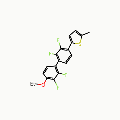 CCOc1ccc(-c2ccc(-c3ccc(C)s3)c(F)c2F)c(F)c1F